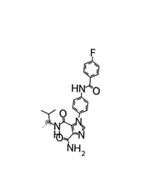 CC(C)[C@@H](C)NC(=O)c1c(C(N)=O)ncn1-c1ccc(NC(=O)c2ccc(F)cc2)cc1